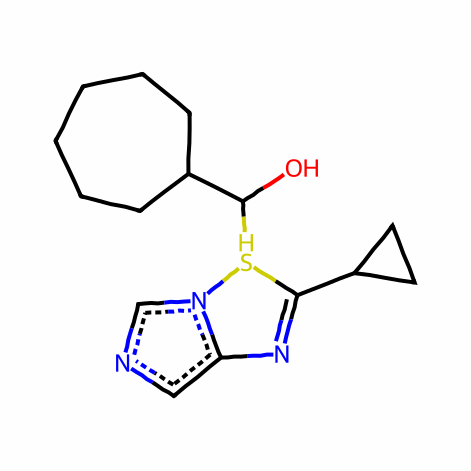 OC(C1CCCCCC1)[SH]1C(C2CC2)=Nc2cncn21